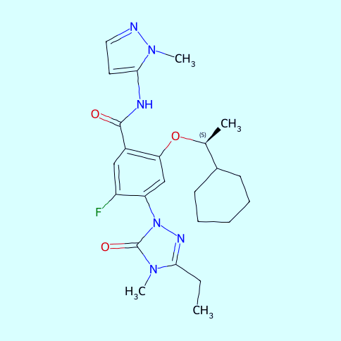 CCc1nn(-c2cc(O[C@@H](C)C3CCCCC3)c(C(=O)Nc3ccnn3C)cc2F)c(=O)n1C